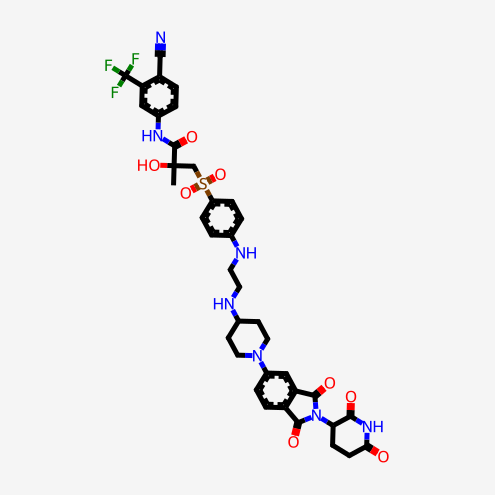 CC(O)(CS(=O)(=O)c1ccc(NCCNC2CCN(c3ccc4c(c3)C(=O)N(C3CCC(=O)NC3=O)C4=O)CC2)cc1)C(=O)Nc1ccc(C#N)c(C(F)(F)F)c1